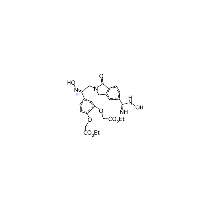 CCOC(=O)COc1ccc(/C(CN2Cc3cc(C(=N)NO)ccc3C2=O)=N/O)cc1OCC(=O)OCC